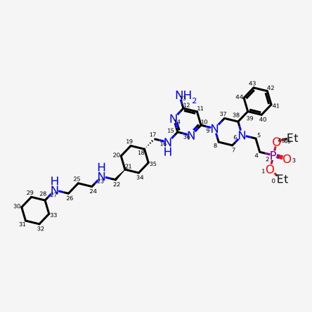 CCOP(=O)(CCN1CCN(c2cc(N)nc(NC[C@H]3CC[C@H](CNCCCNC4CCCCC4)CC3)n2)CC1c1ccccc1)OCC